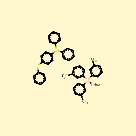 CCCCCC[B-](c1cccc(C(F)(F)F)c1)(c1cccc(C(F)(F)F)c1)c1cccc(C(F)(F)F)c1.c1ccc(Sc2ccc([S+](c3ccccc3)c3ccccc3)cc2)cc1